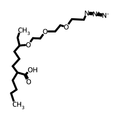 CCCCC(CCCC(CC)OCCOCCOCCN=[N+]=[N-])C(=O)O